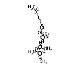 C=CC(=O)OCCCCCCOc1ccc(C(=O)Oc2ccc(N=Nc3ccc(-c4ccc(N=NC)cc4C(N)=O)c(C(N)=O)c3)cc2C(F)(F)F)cc1